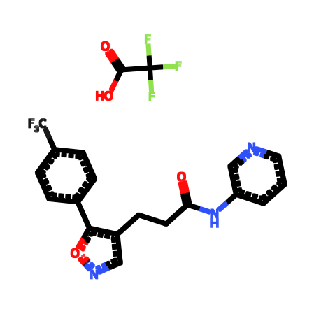 O=C(CCc1cnoc1-c1ccc(C(F)(F)F)cc1)Nc1cccnc1.O=C(O)C(F)(F)F